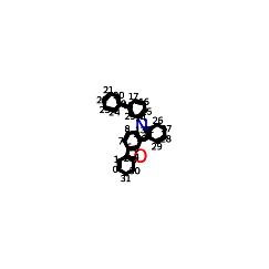 C1=Cc2c(oc3c2ccc2c3c3c(n2-c2cccc(-c4ccccc4)c2)CCC=C3)CC1